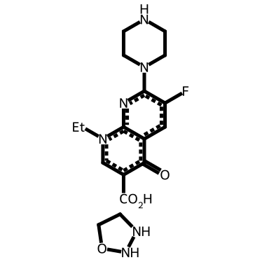 C1CONN1.CCn1cc(C(=O)O)c(=O)c2cc(F)c(N3CCNCC3)nc21